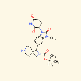 Cn1c(=O)n(C2CCC(=O)NC2=O)c2ccc(C3N(C(=O)OC(C)(C)C)CC34CCNCC4)cc21